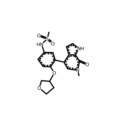 Cn1cc(-c2cc(NS(C)(=O)=O)ccc2OC2CCOC2)c2cc[nH]c2c1=O